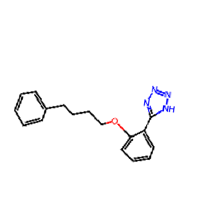 c1ccc(CCCCOc2ccccc2-c2nnn[nH]2)cc1